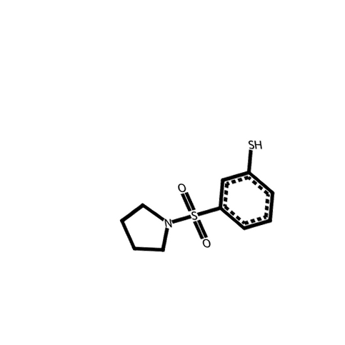 O=S(=O)(c1cccc(S)c1)N1CCCC1